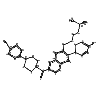 O=C(c1ccc2nc(C3C=CC(F)=CC3)c(CCCCC(O)O)nc2c1)N1CCN(c2ccc(Cl)cc2)CC1